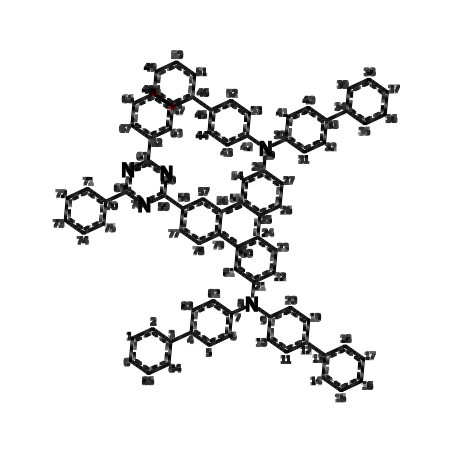 c1ccc(-c2ccc(N(c3ccc(-c4ccccc4)cc3)c3ccc4c5ccc(N(c6ccc(-c7ccccc7)cc6)c6ccc(-c7ccccc7)cc6)cc5c5cc(-c6nc(-c7ccccc7)nc(-c7ccccc7)n6)ccc5c4c3)cc2)cc1